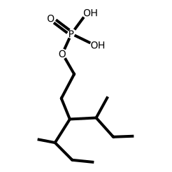 CCC(C)C(CCOP(=O)(O)O)C(C)CC